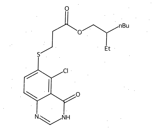 CCCCC(CC)COC(=O)CCSc1ccc2nc[nH]c(=O)c2c1Cl